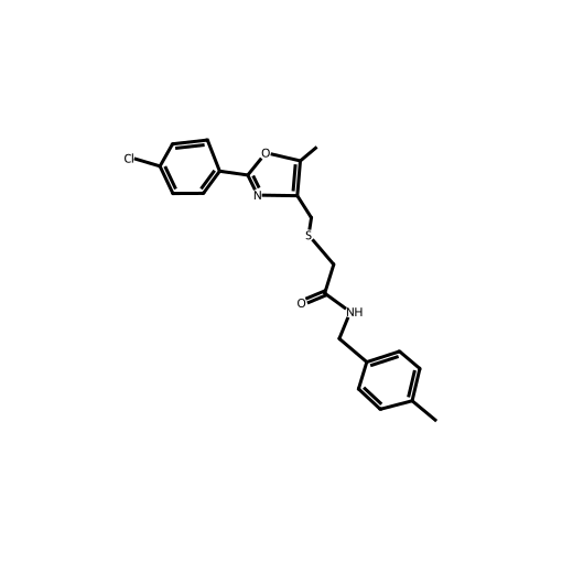 Cc1ccc(CNC(=O)CSCc2nc(-c3ccc(Cl)cc3)oc2C)cc1